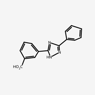 O=C(O)c1cccc(-c2nc(-c3ccccc3)n[nH]2)c1